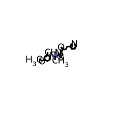 COC1C=C(C)C(/N=C(\C)C2=NC(C(=O)CCc3cccnc3)CS2)=CC1